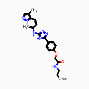 C=C(/C=C\c1[nH]ncc1C)Nc1nnc(-c2ccc(OCC(=O)NCCOC)cc2)[nH]1